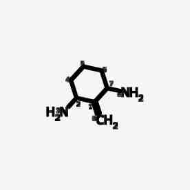 C=C1C(N)CCCC1N